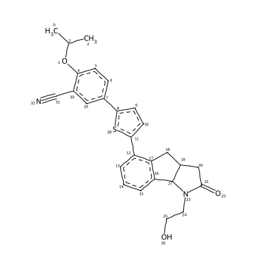 CC(C)Oc1ccc(-c2ccc(-c3cccc4c3CC3CC(=O)N(CCO)C43)s2)cc1C#N